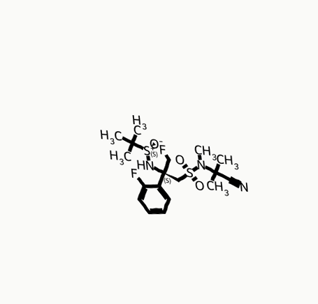 CN(C(C)(C)C#N)S(=O)(=O)C[C@](CF)(N[S@+]([O-])C(C)(C)C)c1ccccc1F